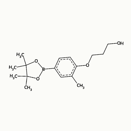 Cc1cc(B2OC(C)(C)C(C)(C)O2)ccc1OCCCO